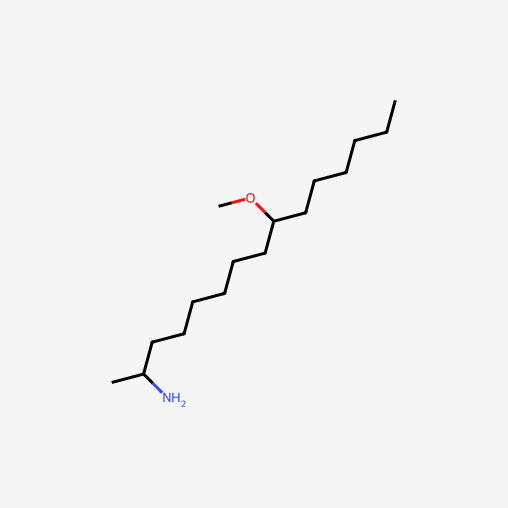 CCCCCCC(CCCCCCC(C)N)OC